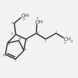 CCCC(O)C1C2C=CC(C2)C1CO